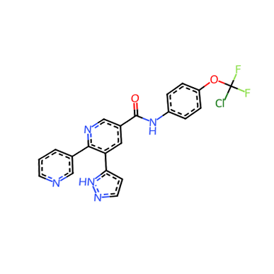 O=C(Nc1ccc(OC(F)(F)Cl)cc1)c1cnc(-c2cccnc2)c(-c2ccn[nH]2)c1